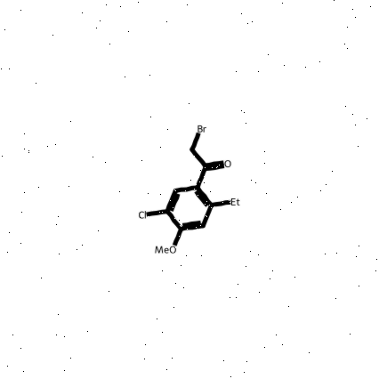 CCc1cc(OC)c(Cl)cc1C(=O)CBr